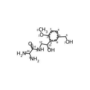 COc1ccc(CO)cc1C(O)CNC(=O)C(N)N